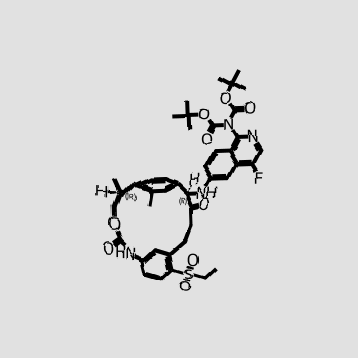 CCS(=O)(=O)c1ccc2cc1CCC(=O)[C@H](Nc1ccc3c(N(C(=O)OC(C)(C)C)C(=O)OC(C)(C)C)ncc(F)c3c1)c1ccc(c(C)c1)[C@@H](C)COC(=O)N2